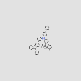 CC1(C)c2ccccc2-c2ccc(N(c3ccc(-c4ccccc4)cc3)c3cccc(-c4ccc5c(c4)-c4ccccc4C5c4ccccc4)c3)cc21